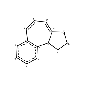 C1=Cc2ccccc2C2CCSC2=C1